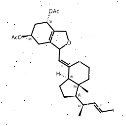 CC(=O)O[C@@H]1CC2=C(COC2/C=C2\CCC[C@]3(C)[C@@H]([C@H](C)/C=C/I)CC[C@@H]23)[C@@H](OC(C)=O)C1